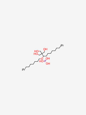 CC(C)CCCCCCCOC(CCCCCCCC(C)C)C(CO)(CO)CO.OP(O)O